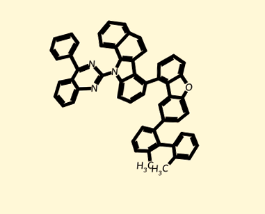 Cc1ccccc1-c1c(C)cccc1-c1ccc2oc3cccc(-c4cccc5c4c4ccc6ccccc6c4n5-c4nc(-c5ccccc5)c5ccccc5n4)c3c2c1